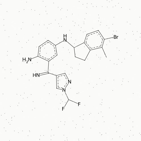 Cc1c(Br)ccc2c1CCC2Nc1ccc(N)c(C(=N)c2cnn(C(F)F)c2)c1